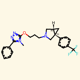 Cn1c(OCCCN2C[C@@H]3C[C@]3(c3ccc(C(F)(F)F)cc3)C2)nnc1-c1ccccc1